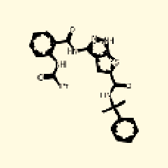 CC(C)C(=O)Nc1ccccc1C(=O)Nc1n[nH]c2sc(C(=O)NC(C)(C)c3ccccc3)cc12